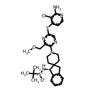 COCc1nc(Sc2ccnc(N)c2Cl)cnc1N1CCC2(CC1)Cc1ccccc1[C@H]2N[S+]([O-])C(C)(C)C